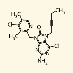 CCC#CCn1c(=O)n(Cc2ncc(C)c(Cl)c2C)c2nc(N)nc(Cl)c21